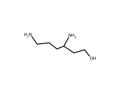 NCCCC(N)CCO